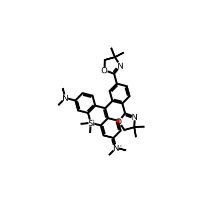 CN(C)c1ccc2c(c1)[Si](C)(C)C1=CC(=[N+](C)C)C=CC1=C2c1cc(C2=NC(C)(C)CO2)ccc1C1=NC(C)(C)CO1